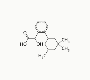 CC1CC(c2ccccc2C(O)C(=O)O)CC(C)(C)C1